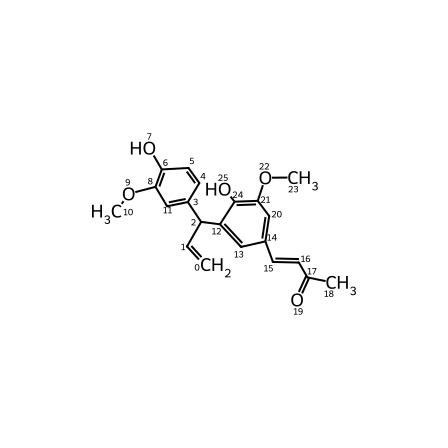 C=CC(c1ccc(O)c(OC)c1)c1cc(/C=C/C(C)=O)cc(OC)c1O